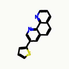 c1csc(-c2cnc3c(ccc4cccnc43)c2)c1